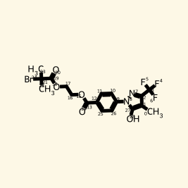 Cc1c(C(F)(F)F)nn(-c2ccc(C(=O)OCCOC(=O)C(C)(C)Br)cc2)c1O